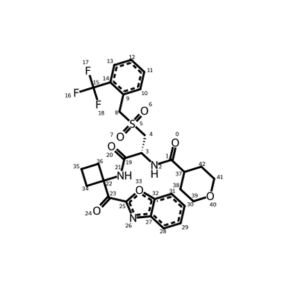 O=C(N[C@@H](CS(=O)(=O)Cc1ccccc1C(F)(F)F)C(=O)NC1(C(=O)c2nc3ccccc3o2)CCC1)C1CCOCC1